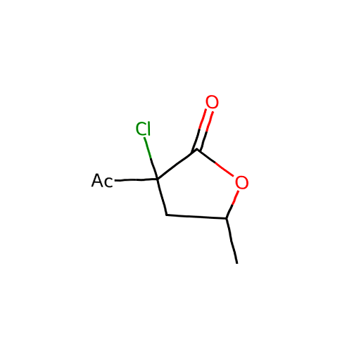 CC(=O)C1(Cl)CC(C)OC1=O